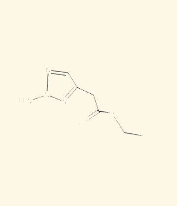 CCOC(=O)Cc1cnn(N)n1